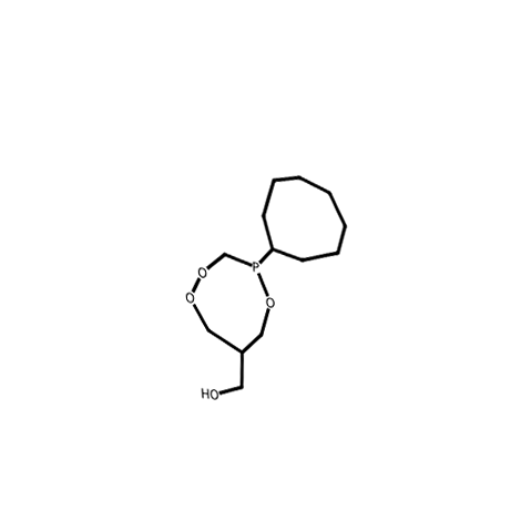 OCC1COOCP(C2CCCCCCC2)OC1